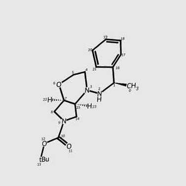 C[C@@H](NN1CCO[C@@H]2CN(C(=O)OC(C)(C)C)C[C@@H]21)c1ccccc1